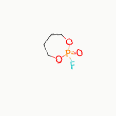 O=P1(F)OCCCCO1